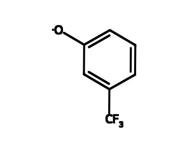 [O]c1cccc(C(F)(F)F)c1